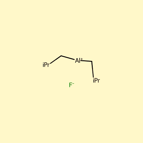 CC(C)[CH2][Al+][CH2]C(C)C.[F-]